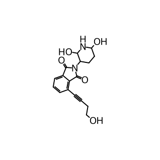 O=C1c2cccc(C#CCCO)c2C(=O)N1C1CCC(O)NC1O